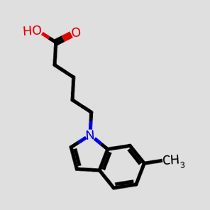 Cc1ccc2ccn(CCCCC(=O)O)c2c1